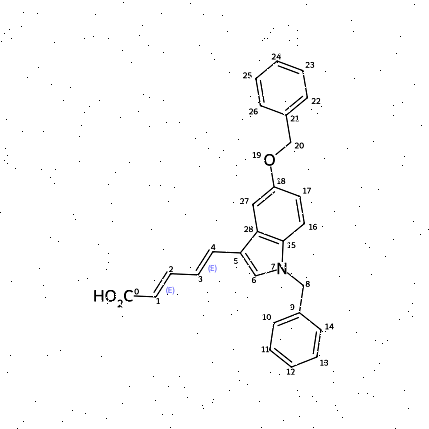 O=C(O)/C=C/C=C/c1cn(Cc2ccccc2)c2ccc(OCc3ccccc3)cc12